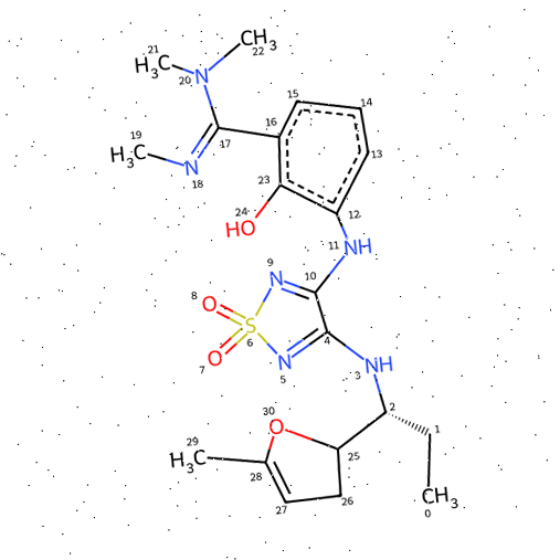 CC[C@@H](NC1=NS(=O)(=O)N=C1Nc1cccc(/C(=N/C)N(C)C)c1O)C1CC=C(C)O1